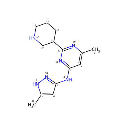 Cc1cc(Nc2cc(C)[nH]n2)nc(C2CCCNC2)n1